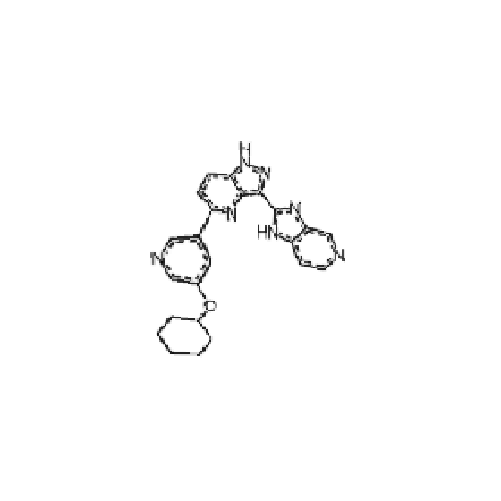 c1cc2[nH]c(-c3n[nH]c4ccc(-c5cncc(OC6CCCCC6)c5)nc34)nc2cn1